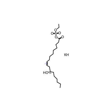 CCCCCC[C@@H](O)C/C=C\CCCCCCCC(=O)OS(=O)(=O)OCC.[KH]